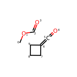 COC=O.O=C=C1CCC1